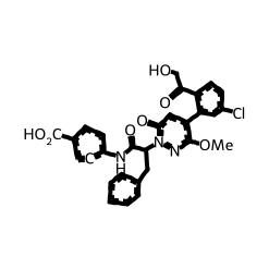 COc1nn(C(Cc2ccccc2)C(=O)Nc2ccc(C(=O)O)cc2)c(=O)cc1-c1cc(Cl)ccc1C(=O)CO